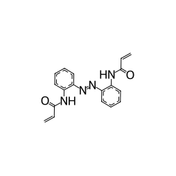 C=CC(=O)Nc1ccccc1N=Nc1ccccc1NC(=O)C=C